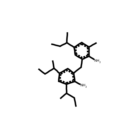 CCC(C)c1cc(C)c(N)c(Cc2cc(C(C)CC)cc(C(C)CC)c2N)c1